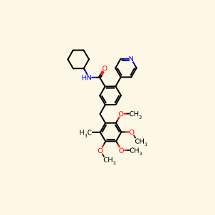 COc1c(C)c(Cc2ccc(-c3ccncc3)c(C(=O)NC3CCCCC3)c2)c(OC)c(OC)c1OC